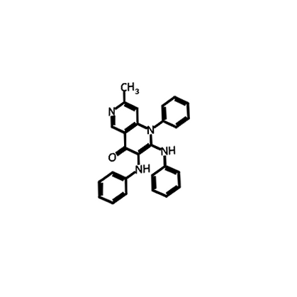 Cc1cc2c(cn1)c(=O)c(Nc1ccccc1)c(Nc1ccccc1)n2-c1ccccc1